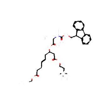 CC(C)[C@H](NC(=O)OCC1c2ccccc2-c2ccccc21)C(=O)OC(CC=CCCC(=O)OCC(Cl)(Cl)Cl)CC(=O)OCC[Si](C)(C)C